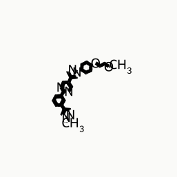 COCCO[C@H]1CC[C@H](n2cc(-c3cnc(-c4cccc(-c5cnn(C)c5)c4)nc3)cn2)CC1